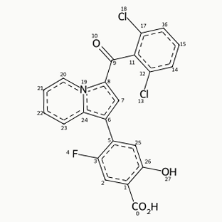 O=C(O)c1cc(F)c(-c2cc(C(=O)c3c(Cl)cccc3Cl)n3ccccc23)cc1O